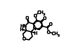 COC(=O)c1cn2c(c(OC)c1=O)C(=O)N[C@H]1COCC[C@H]12